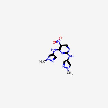 Cn1cc(Nc2ncc([N+](=O)[O-])c(Nc3cnn(C)c3)n2)cn1